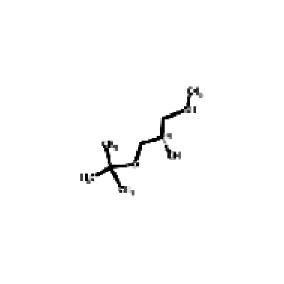 CNC[C@H](O)COC(C)(C)C